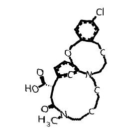 CN1CCCCCCCN2CCCCc3cc(Cl)ccc3COc3ccc(cc32)[C@@H](C(=O)O)CC1=O